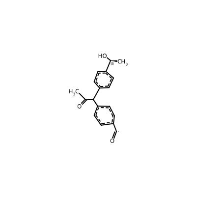 CC(=O)C(c1ccc([C]=O)cc1)c1ccc([C@H](C)O)cc1